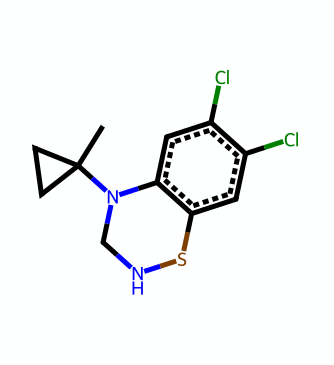 CC1(N2CNSc3cc(Cl)c(Cl)cc32)CC1